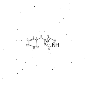 C1=CC(CN2CCNCC2)CCC1